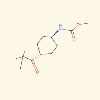 COC(=O)N[C@H]1CC[C@H](C(=O)C(C)(C)C)CC1